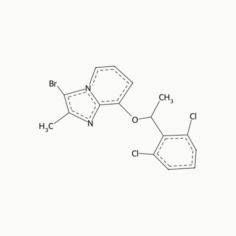 Cc1nc2c(OC(C)c3c(Cl)cccc3Cl)cccn2c1Br